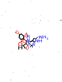 COc1ccc(CNC2=c3cc(CN)[nH]c3=NC(C)(C)N2[C@@H]2OC[C@H]3OCO[C@@H]23)c(OC)c1